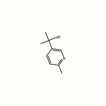 Cc1ccc(C(C)(C)C(C)C)cn1